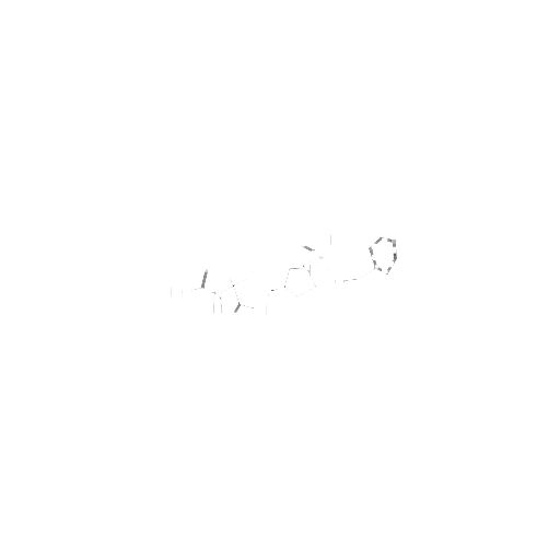 CC(=O)N[C@](C)(SS[C@@H]1C[C@@H](COCc2ccccc2)N(S(C)(=O)=O)C1)C(=O)O